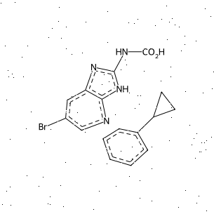 O=C(O)Nc1nc2cc(Br)cnc2[nH]1.c1ccc(C2CC2)cc1